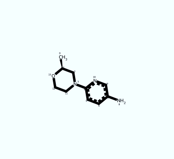 C[C@H]1CN(c2ccc(N)cn2)CCO1